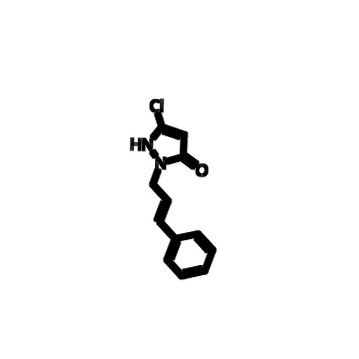 O=c1cc(Cl)[nH]n1CC=Cc1ccccc1